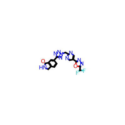 O=C1NCc2ccc(-c3nnn(Cc4ncc(-c5nnc(C(F)F)o5)cn4)n3)cc21